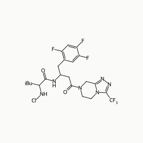 CCC(C)C(NCl)C(=O)NC(CC(=O)N1CCn2c(nnc2C(F)(F)F)C1)Cc1cc(F)c(F)cc1F